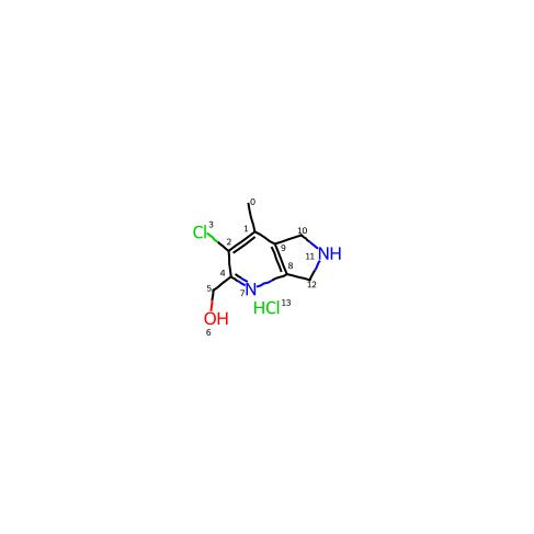 Cc1c(Cl)c(CO)nc2c1CNC2.Cl